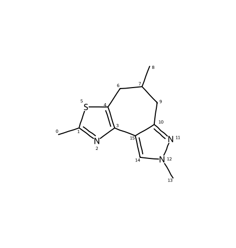 Cc1nc2c(s1)CC(C)Cc1nn(C)cc1-2